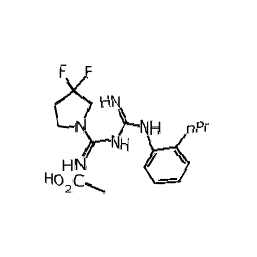 CC(=O)O.CCCc1ccccc1NC(=N)NC(=N)N1CCC(F)(F)C1